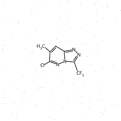 Cc1cc2nnc(C(F)(F)F)n2nc1Cl